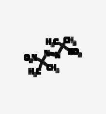 CC(C)(N=NC(C)(C)[N+](=O)[O-])[N+](=O)[O-]